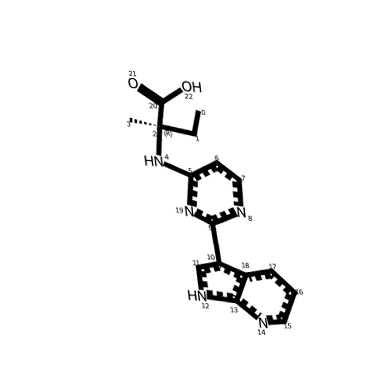 CC[C@@](C)(Nc1ccnc(-c2c[nH]c3ncccc23)n1)C(=O)O